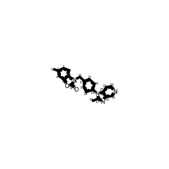 Cc1ccc2c(c1)oc(=O)n2Cc1ccc(-n2c(C)nc3cnccc32)cc1